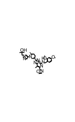 COc1ccc(CNc2nc(-c3ncco3)c(C)c3nc([C@@H]4CC[C@H](C)N(c5cnn(CC(C)(C)O)c5)C4)nn23)c(OC)c1